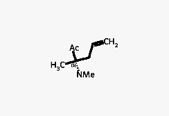 C=CC[C@](C)(NC)C(C)=O